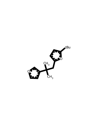 CC(C)(C)c1ccc(CC(C)(C)c2ccoc2)o1